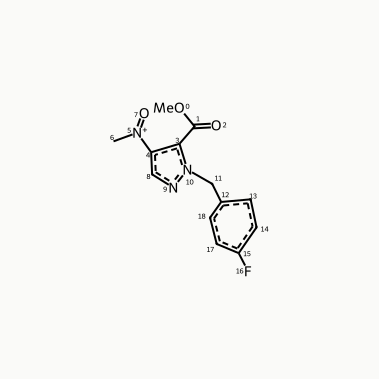 COC(=O)c1c([N+](C)=O)cnn1Cc1ccc(F)cc1